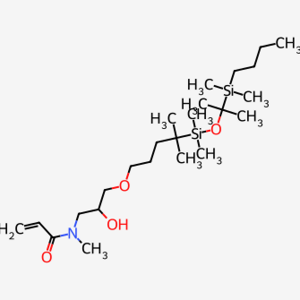 C=CC(=O)N(C)CC(O)COCCCC(C)(C)[Si](C)(C)OC(C)(C)[Si](C)(C)CCCC